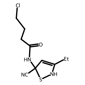 CCC1=CC(C#N)(NC(=O)CCCCl)SN1